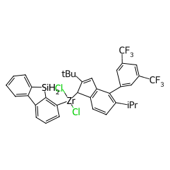 CC(C)c1ccc2c(c1-c1cc(C(F)(F)F)cc(C(F)(F)F)c1)C=C(C(C)(C)C)[CH]2[Zr]([Cl])([Cl])[c]1cccc2c1[SiH2]c1ccccc1-2